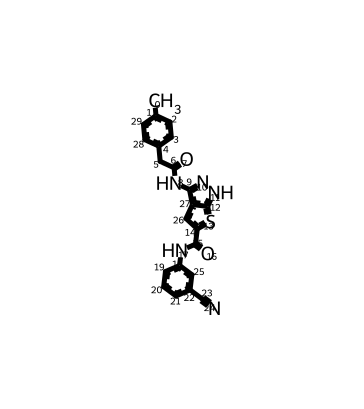 Cc1ccc(CC(=O)Nc2n[nH]c3sc(C(=O)Nc4cccc(C#N)c4)cc23)cc1